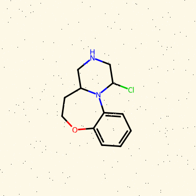 ClC1CNCC2CCOc3ccccc3N12